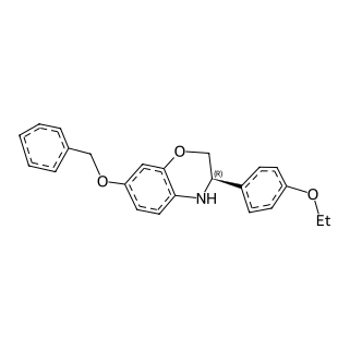 CCOc1ccc([C@@H]2COc3cc(OCc4ccccc4)ccc3N2)cc1